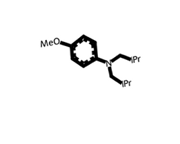 COc1ccc(N(CC(C)C)CC(C)C)cc1